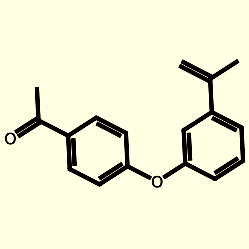 C=C(C)c1cccc(Oc2ccc(C(C)=O)cc2)c1